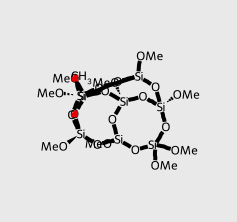 CO[Si]1(OC)O[Si]2(OC)O[Si@@]3(OC)O[Si]4(OC)O[Si](OC)(O[Si@@](C)(OC)O3)O[Si@@](OC)(O1)O[Si@@](OC)(O2)O4